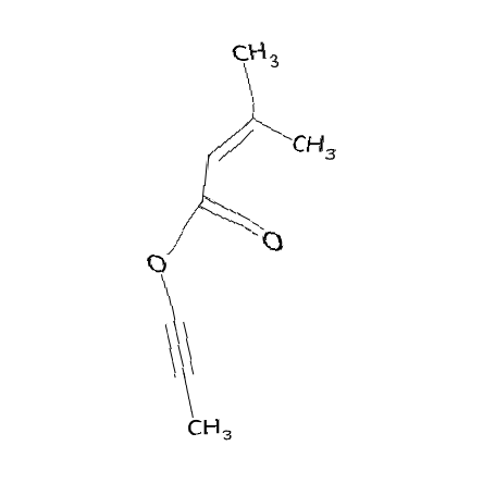 CC#COC(=O)C=C(C)C